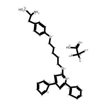 NC(Cc1ccc(OCCCCCOc2cc(-c3ccccc3)cc(-c3ccccc3)n2)cc1)C(=O)O.O=C(O)C(F)(F)F